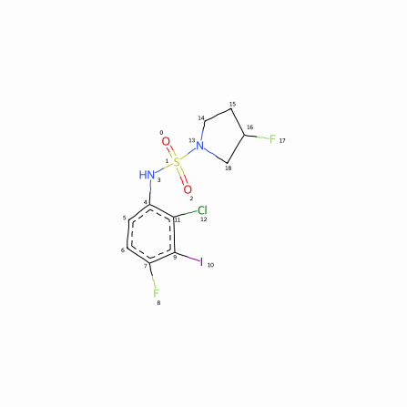 O=S(=O)(Nc1ccc(F)c(I)c1Cl)N1CCC(F)C1